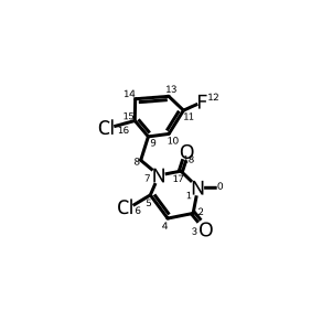 Cn1c(=O)cc(Cl)n(Cc2cc(F)ccc2Cl)c1=O